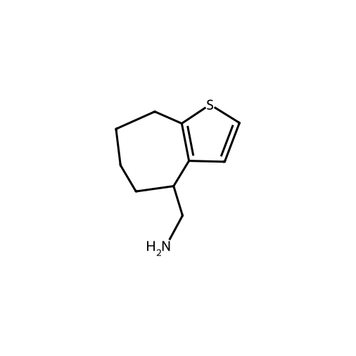 NCC1CCCCc2sccc21